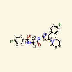 CC(C)(NC(=O)C1C=CC(F)=CC1)C(=O)Nc1nc(-c2ccc(F)cc2)c(N2CCCCC2)s1